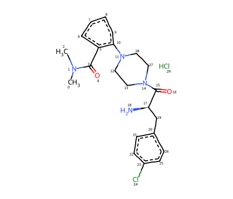 CN(C)C(=O)c1ccccc1N1CCN(C(=O)[C@H](N)Cc2ccc(Cl)cc2)CC1.Cl